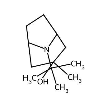 CC1(O)CC2CCC(C1)N2C(C)(C)C